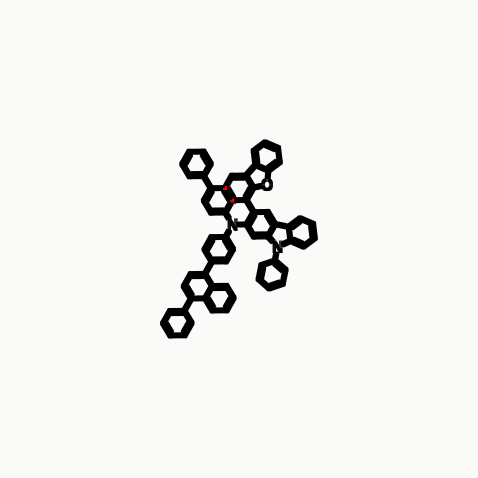 c1ccc(-c2ccc(N(c3ccc(-c4ccc(-c5ccccc5)c5ccccc45)cc3)c3cc4c(cc3-c3cccc5c3oc3ccccc35)c3ccccc3n4-c3ccccc3)cc2)cc1